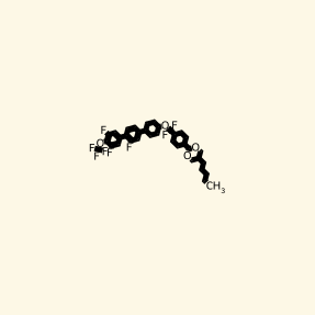 CCCCCC1COC(C2CCC(C(F)(F)OC3CCC(c4ccc(-c5cc(F)c(OC(F)(F)F)c(F)c5)c(F)c4)CC3)CC2)OC1